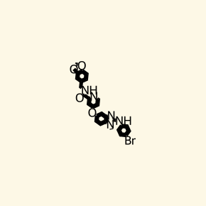 Cn1c(Nc2ccc(Br)cc2)nc2cc(Oc3ccnc(C(=O)NCc4ccc5c(c4)OCO5)c3)ccc21